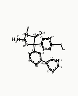 CCc1ccc(C2(c3cccc(-c4cccnc4)c3)N=C(N)N(C)C2=O)cn1